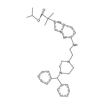 CC(C)OC(=O)C(C)(C)c1cn2nc(NCCN3CCN(C(c4ccccc4)c4ccccc4)CC3)ccc2n1